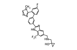 Cn1cnnc1-c1cc(F)ccc1-c1cccc(-c2nc3cc(CNCC4(O)CC4)cc(C(F)(F)F)c3[nH]2)c1